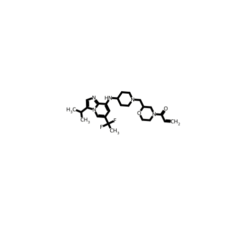 C=CC(=O)N1CCOC(CN2CCC(Nc3cc(C(C)(F)F)cn4c(C(C)C)cnc34)CC2)C1